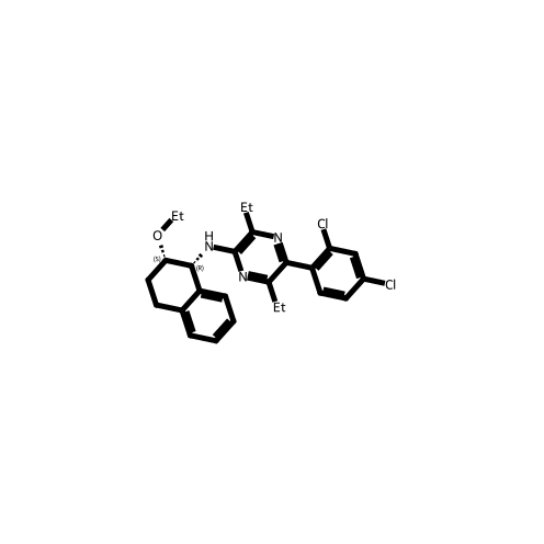 CCO[C@H]1CCc2ccccc2[C@H]1Nc1nc(CC)c(-c2ccc(Cl)cc2Cl)nc1CC